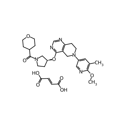 COc1ncc(N2CCc3ncnc(O[C@H]4CCN(C(=O)C5CCOCC5)C4)c3C2)cc1C.O=C(O)/C=C/C(=O)O